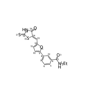 CCNC(=O)c1cccc(-c2ccc(/C=C3\SC(=S)NC3=O)o2)c1